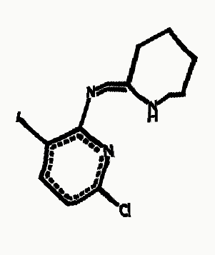 Clc1ccc(I)c(/N=C2/CCCCN2)n1